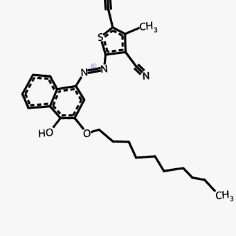 CCCCCCCCCCOc1cc(/N=N/c2sc(C#N)c(C)c2C#N)c2ccccc2c1O